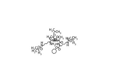 CC[C@H](NC(=O)[C@@H](NC(=O)[C@@H](N)CCCCNC(=O)OC(C)(C)C)[C@@H](C)OCC(C)C)C(=O)N[C@@H](CCCCNC(=O)OC(C)(C)C)C(=O)OC1CCCCCC1